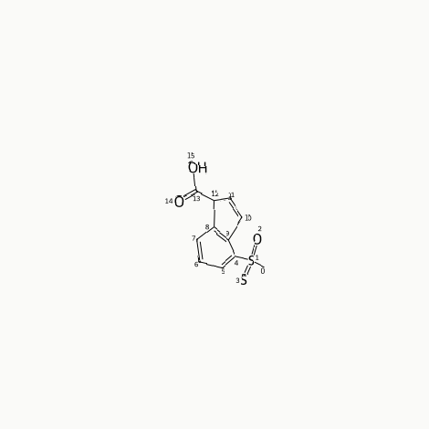 CS(=O)(=S)c1cccc2c1C=CC2C(=O)O